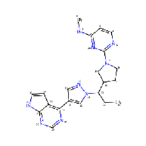 CC(C)Nc1ccnc(N2CCC(C(CC#N)n3cc(-c4ncnc5[nH]ccc45)cn3)C2)n1